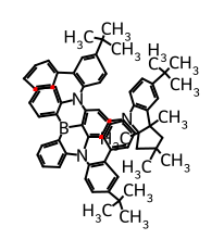 CC1(C)CC2(C)c3cc(C(C)(C)C)ccc3N(c3cc4c5c(c3)N(c3ccc(C(C)(C)C)cc3-c3ccccc3)c3ccccc3B5c3ccccc3N4c3ccc(C(C)(C)C)cc3-c3ccccc3)C2(C)C1